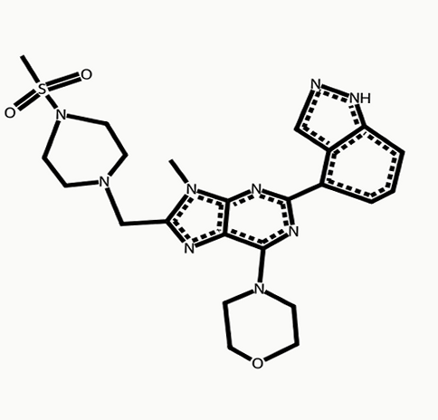 Cn1c(CN2CCN(S(C)(=O)=O)CC2)nc2c(N3CCOCC3)nc(-c3cccc4[nH]ncc34)nc21